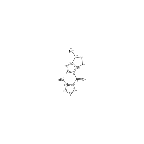 CCCCn1cccc1C(=O)c1ccc2n1CCC2C#N